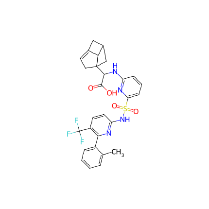 Cc1ccccc1-c1nc(NS(=O)(=O)c2cccc(NC(C(=O)O)C34CC=C5CC(C3)C54)n2)ccc1C(F)(F)F